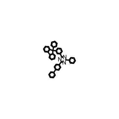 c1ccc(-c2ccc(-c3nc(-c4ccccc4)nc(-c4cccc(C5(c6ccccc6)c6ccccc6-c6ccccc65)c4)n3)cc2)cc1